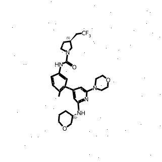 Cc1ccc(NC(=O)N2CC[C@@H](CC(F)(F)F)C2)cc1-c1cc(N[C@H]2CCCOC2)nc(N2CCOCC2)c1